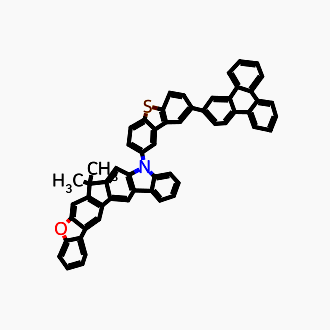 CC1(C)c2cc3oc4ccccc4c3cc2-c2cc3c4ccccc4n(-c4ccc5sc6ccc(-c7ccc8c9ccccc9c9ccccc9c8c7)cc6c5c4)c3cc21